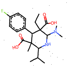 CCC1(C(=O)O)C(N(C)C)NC(C(C)C)C(C)(C(=O)O)C1c1ccc(F)cc1